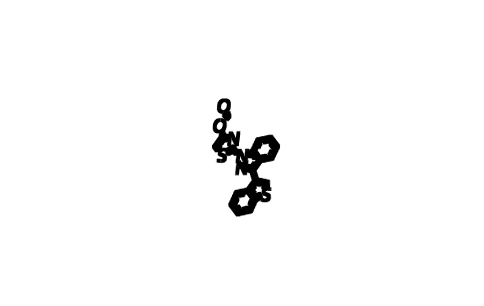 O=COc1csc(-n2nc(-c3csc4ccccc34)c3ccccc32)n1